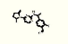 C=C1CCC(C)N1c1ccnc(NC(C)c2ccc(C=O)c(F)c2)n1